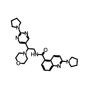 O=C(NCC(c1cnc(N2CCCC2)nc1)N1CCOCC1)c1cccc2nc(N3CCCC3)ccc12